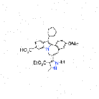 CCOC(=O)c1c(C)nn(CC)c1C1=Cc2cc(OC)ccc2-c2c(C3CCCCC3)c3ccc(C(=O)O)cc3n2C1